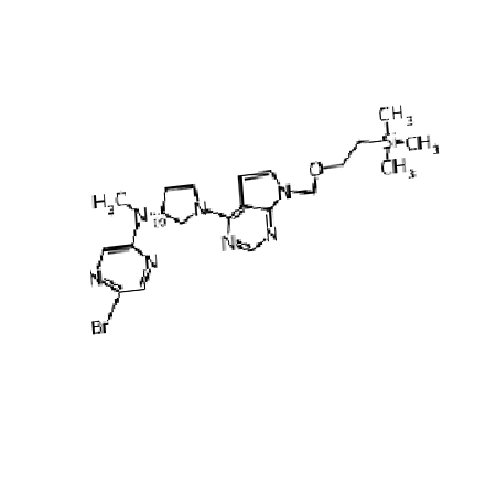 CN(c1cnc(Br)cn1)[C@@H]1CCN(c2ncnc3c2ccn3COCC[Si](C)(C)C)C1